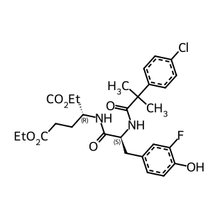 CCOC(=O)CC[C@@H](NC(=O)[C@H](Cc1ccc(O)c(F)c1)NC(=O)C(C)(C)c1ccc(Cl)cc1)C(=O)OCC